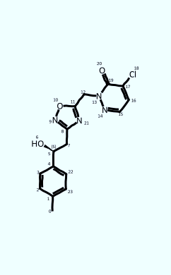 Cc1ccc([C@@H](O)Cc2noc(Cn3nccc(Cl)c3=O)n2)cc1